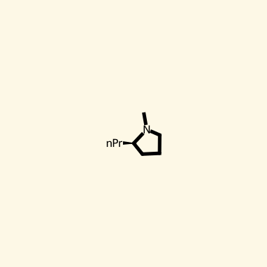 CCC[C@@H]1CCCN1C